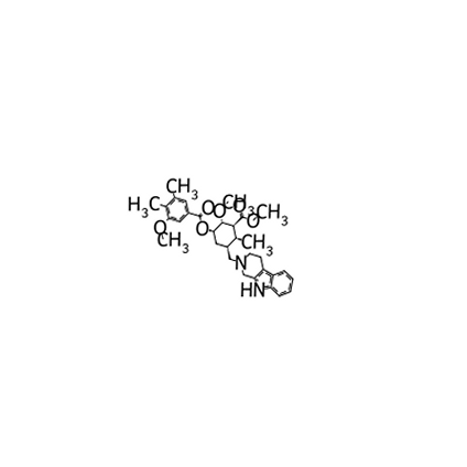 COC(=O)[C@H]1[C@@H](C)[C@@H](CN2CCc3c([nH]c4ccccc34)C2)C[C@@H](OC(=O)c2cc(C)c(C)c(OC)c2)[C@@H]1OC